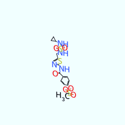 CS(=O)(=O)Oc1ccc(C(=O)Nc2ncc(CNS(=O)(=O)NC3CC3)s2)cc1